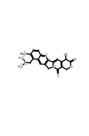 CCC1C(=O)OCc2c1cc1n(c2=O)Cc2cc3c(CN(C)C)c(OC)ccc3nc2-1